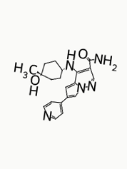 C[C@]1(O)CC[C@@H](Nc2c(C(N)=O)cnn3cc(-c4ccncc4)cc23)CC1